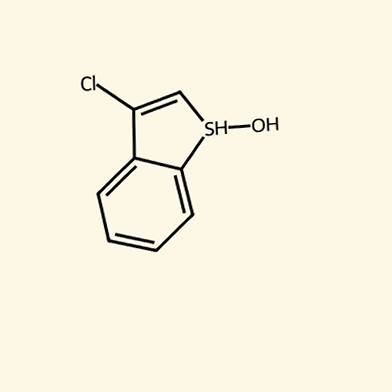 O[SH]1C=C(Cl)c2ccccc21